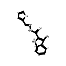 CC(C)c1c(C(=O)NN=Cc2cccs2)[nH]c2ccccc12